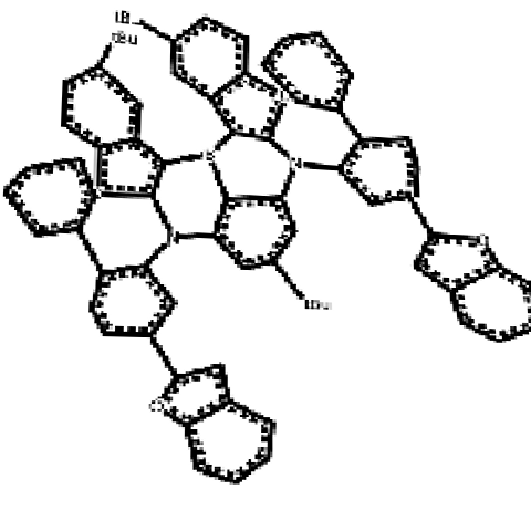 CC(C)(C)c1cc2c3c(c1)N(c1cc(-c4cc5ccccc5o4)ccc1-c1ccccc1)c1oc4ccc(C(C)(C)C)cc4c1B3c1c(oc3ccc(C(C)(C)C)cc13)N2c1cc(-c2cc3ccccc3o2)ccc1-c1ccccc1